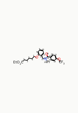 CCOC(=O)CCCCCOc1ccccc1CN(C(=O)c1ccc(OC(F)(F)F)cc1)C(C)C